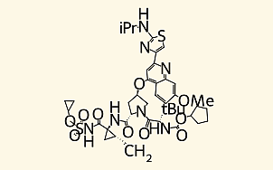 C=C[C@@H]1C[C@]1(NC(=O)[C@@H]1C[C@@H](Oc2cc(-c3csc(NC(C)C)n3)nc3cc(OC)ccc23)CN1C(=O)[C@@H](NC(=O)OC1CCCC1)C(C)(C)C)C(=O)NS(=O)(=O)OC1CC1